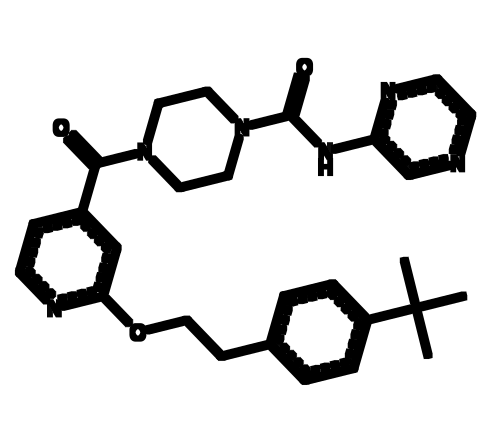 CC(C)(C)c1ccc(CCOc2cc(C(=O)N3CCN(C(=O)Nc4cnccn4)CC3)ccn2)cc1